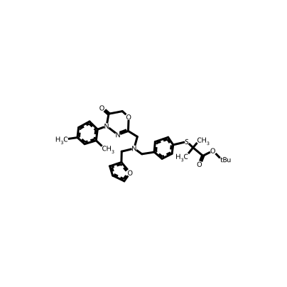 Cc1ccc(N2N=C(CN(Cc3ccc(SC(C)(C)C(=O)OC(C)(C)C)cc3)Cc3ccco3)OCC2=O)c(C)c1